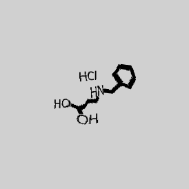 Cl.OC(O)CCNCc1ccccc1